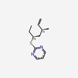 C=C[C@@H](C)C[C@H](CC)Sc1ncccn1